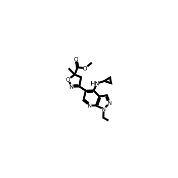 CCn1ncc2c(NC3CC3)c(C3=NOC(C)(C(=O)OC)C3)cnc21